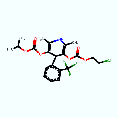 CC1=C(OC(=O)OCCCl)C(c2ccccc2C(F)(F)F)C(OC(=O)OC(C)C)=C(C)N1